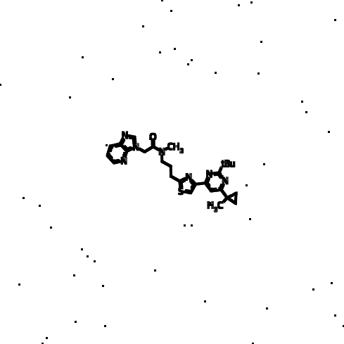 CN(CCCc1nc(-c2cc(C3(C)CC3)nc(C(C)(C)C)n2)cs1)C(=O)Cn1cnc2cccnc21